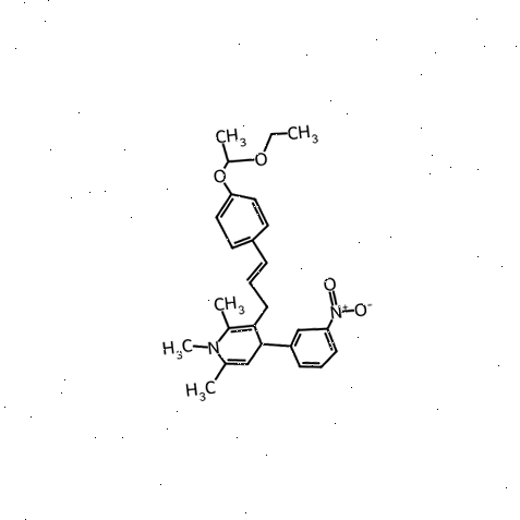 CCOC(C)Oc1ccc(C=CCC2=C(C)N(C)C(C)=CC2c2cccc([N+](=O)[O-])c2)cc1